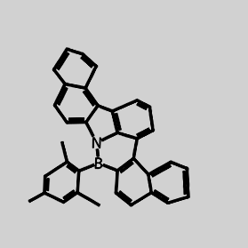 Cc1cc(C)c(B2c3ccc4ccccc4c3-c3cccc4c5c6ccccc6ccc5n2c34)c(C)c1